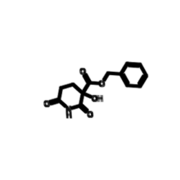 O=C1CCC(O)(C(=O)OCc2ccccc2)C(=O)N1